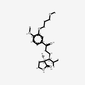 COCCCOc1cc(C(=O)CC[C@@H](C(C)C)[C@]2(Br)CCOC2=O)ccc1OC